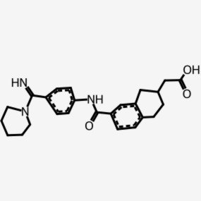 N=C(c1ccc(NC(=O)c2ccc3c(c2)CC(CC(=O)O)CC3)cc1)N1CCCCC1